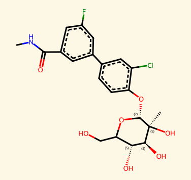 CNC(=O)c1cc(F)cc(-c2ccc(O[C@H]3OC(CO)[C@@H](O)[C@H](O)[C@]3(C)O)c(Cl)c2)c1